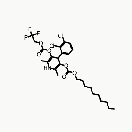 CCCCCCCCCCOC(=O)OC1=C(C)NC(C)=C(OC(=O)OCC(F)(F)F)C1c1cccc(Cl)c1Cl